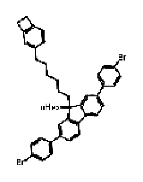 CCCCCCC1(CCCCCCc2ccc3c(c2)CC3)c2cc(-c3ccc(Br)cc3)ccc2-c2ccc(-c3ccc(Br)cc3)cc21